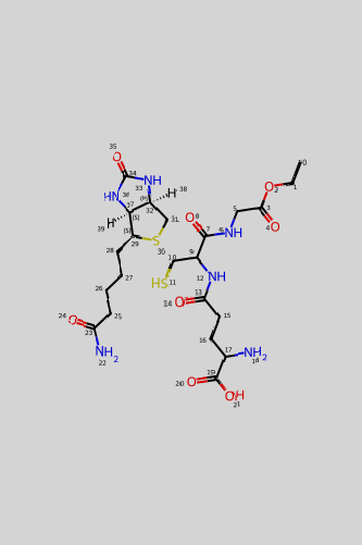 CCOC(=O)CNC(=O)C(CS)NC(=O)CCC(N)C(=O)O.NC(=O)CCCC[C@@H]1SC[C@@H]2NC(=O)N[C@@H]21